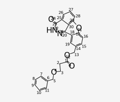 O=C(CCOCc1ccccc1)OCc1ccc2c(c1)-c1n[nH]c(=O)c3cccc(c13)O2